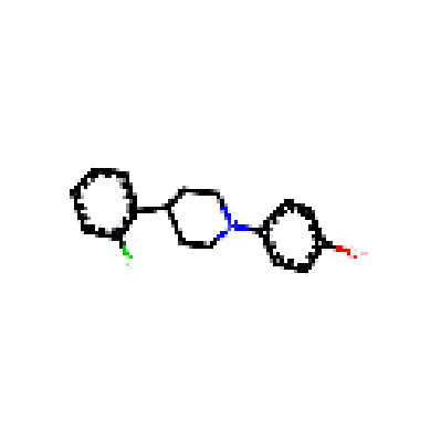 Oc1ccc(N2CCC(c3ccccc3Cl)CC2)cc1